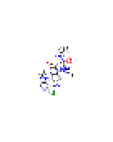 CCNC(=O)C(C)(C)Nc1cc(=O)n(C)c2c(Nc3ccnc(Cl)c3C#N)cccc12